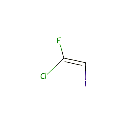 FC(Cl)=CI